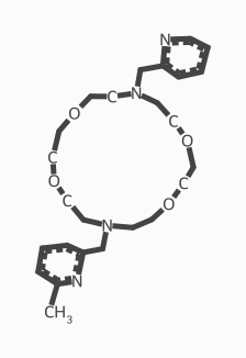 Cc1cccc(CN2CCOCCOCCN(Cc3ccccn3)CCOCCOCC2)n1